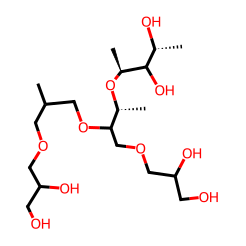 CC(COCC(O)CO)COC(COCC(O)CO)[C@@H](C)O[C@@H](C)C(O)[C@@H](C)O